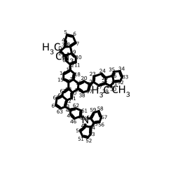 CC1(C)c2ccccc2-c2ccc(-c3ccc4c(c3)c3cc(-c5ccc6c(c5)C(C)(C)c5ccccc5-6)ccc3c3cc5c(-c6ccc(-n7c8ccccc8c8ccccc87)cc6)cccc5cc43)cc21